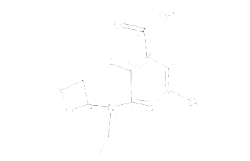 CCN(c1cc(Br)cc(C(=O)O)c1C)C1CCO1